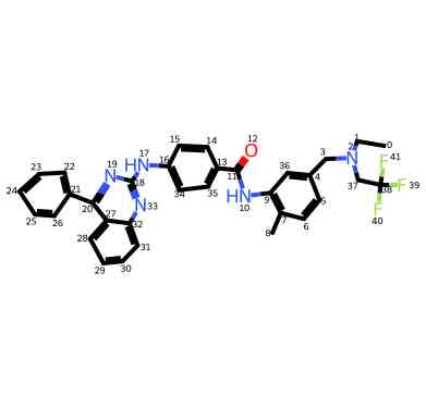 CCN(Cc1ccc(C)c(NC(=O)c2ccc(Nc3nc(-c4ccccc4)c4ccccc4n3)cc2)c1)CC(F)(F)F